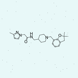 Cc1ccn(CC(=O)NCC2CCN(Cc3cccc4c3OC(C)(C)C4)CC2)n1